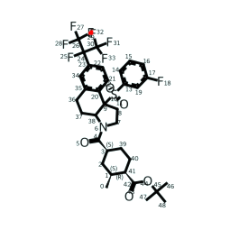 C[C@H]1C[C@@H](C(=O)N2CCC3(S(=O)(=O)c4cccc(F)c4)c4ccc(C(F)(C(F)(F)F)C(F)(F)F)cc4CCC23)CC[C@H]1C(=O)OC(C)(C)C